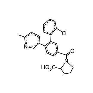 Cc1ccc(-c2ccc(C(=O)N3CCCC3C(=O)O)cc2-c2ccccc2Cl)cn1